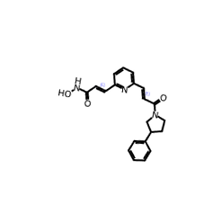 O=C(/C=C/c1cccc(/C=C/C(=O)N2CCC(c3ccccc3)C2)n1)NO